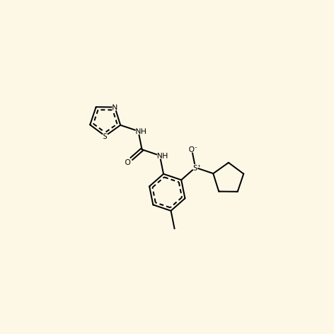 Cc1ccc(NC(=O)Nc2nccs2)c([S+]([O-])C2CCCC2)c1